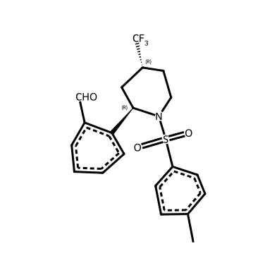 Cc1ccc(S(=O)(=O)N2CC[C@@H](C(F)(F)F)C[C@@H]2c2ccccc2C=O)cc1